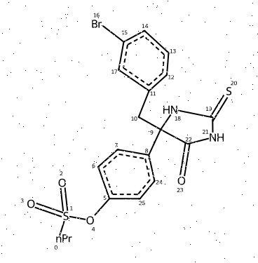 CCCS(=O)(=O)Oc1ccc(C2(Cc3cccc(Br)c3)NC(=S)NC2=O)cc1